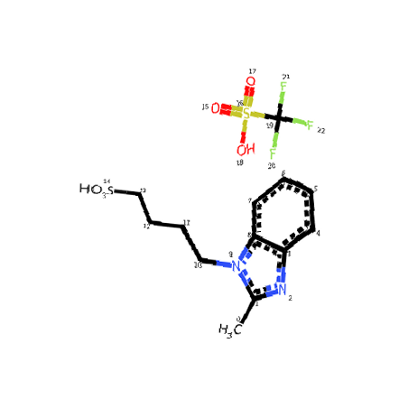 Cc1nc2ccccc2n1CCCCS(=O)(=O)O.O=S(=O)(O)C(F)(F)F